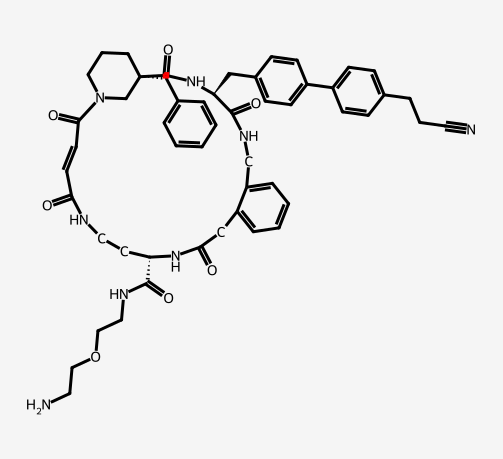 N#CCCc1ccc(-c2ccc(C[C@@H]3NC(=O)[C@]4(Cc5ccccc5)CCCN(C4)C(=O)/C=C/C(=O)NCC[C@@H](C(=O)NCCOCCN)NC(=O)Cc4ccccc4CNC3=O)cc2)cc1